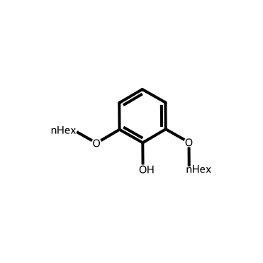 CCCCCCOc1cccc(OCCCCCC)c1O